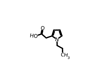 CCCn1cccc1CC(=O)O